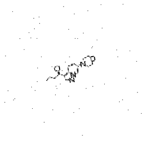 CCCC(=O)c1cnn2cc(N3CCOCC3)ccc12